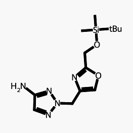 CC(C)(C)[Si](C)(C)OCc1nc(Cn2ncc(N)n2)co1